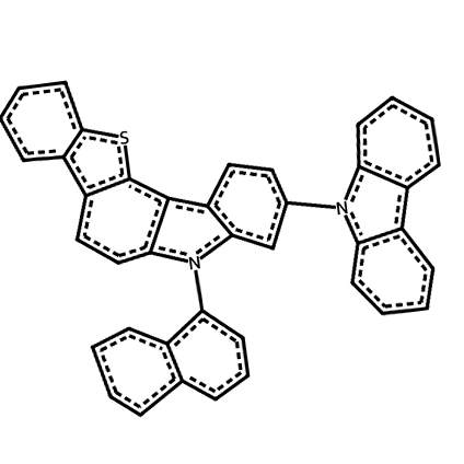 c1ccc2c(-n3c4cc(-n5c6ccccc6c6ccccc65)ccc4c4c5sc6ccccc6c5ccc43)cccc2c1